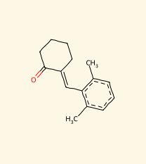 Cc1cccc(C)c1C=C1CCCCC1=O